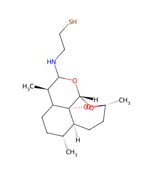 C[C@H]1C(NCCS)O[C@@H]2O[C@]3(C)CC[C@H]4[C@H](C)CCC1[C@@]24OO3